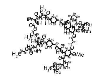 C=CCOC(=O)N[C@H](C(=O)N[C@@H](C)C(=O)Nc1ccc(COC(=O)Nc2cc(OCCCOc3cc(NC(=O)OCc4ccc(NC(=O)[C@H](C)NC(=O)[C@@H](NC(=O)OCC=C)C(C)C)cc4)c(C(=O)N4CCC[C@H]4CO[Si](C)(C)C(C)(C)C)cc3OC)c(OC)cc2C(=O)N2CCC[C@H]2CO[Si](C)(C)C(C)(C)C)cc1)C(C)C